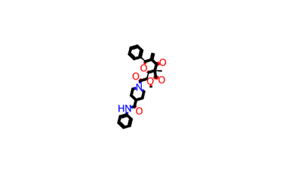 C=C1C(=O)[C@](C)(C(=O)OC)[C@@H](CC(=O)N2CCC(C(=O)Nc3ccccc3)CC2)O[C@H]1c1ccccc1